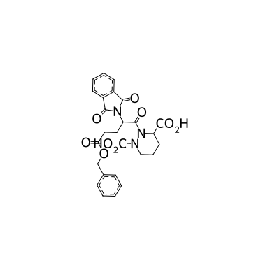 O=C(CCC(C(=O)N1C(C(=O)O)CCCN1C(=O)O)N1C(=O)c2ccccc2C1=O)OCc1ccccc1